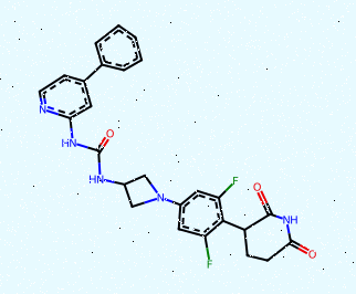 O=C1CCC(c2c(F)cc(N3CC(NC(=O)Nc4cc(-c5ccccc5)ccn4)C3)cc2F)C(=O)N1